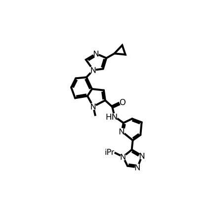 CC(C)n1cnnc1-c1cccc(NC(=O)c2cc3c(-n4cnc(C5CC5)c4)cccc3n2C)n1